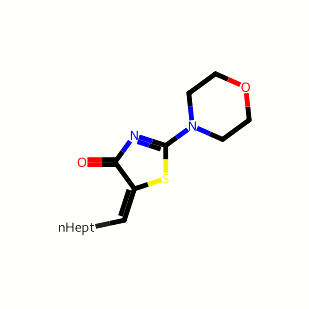 CCCCCCCC=C1SC(N2CCOCC2)=NC1=O